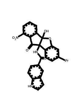 CC(C)c1ccc2c(c1)OC1(O)c3cccc([N+](=O)[O-])c3C(=O)C21NC(=O)c1ccc2[nH]ccc2c1